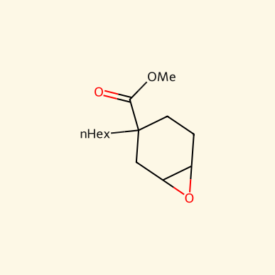 CCCCCCC1(C(=O)OC)CCC2OC2C1